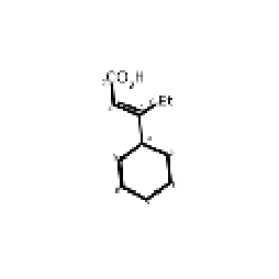 CCC(=CC(=O)O)C1CCCCC1